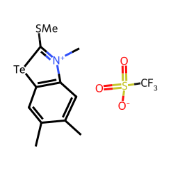 CSc1[te]c2cc(C)c(C)cc2[n+]1C.O=S(=O)([O-])C(F)(F)F